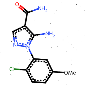 COc1ccc(Cl)c(-n2ncc(C(N)=O)c2N)c1